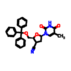 Cc1cn([C@H]2CC(C#N)[C@@H](COC(c3ccccc3)(c3ccccc3)c3ccccc3)O2)c(=O)[nH]c1=O